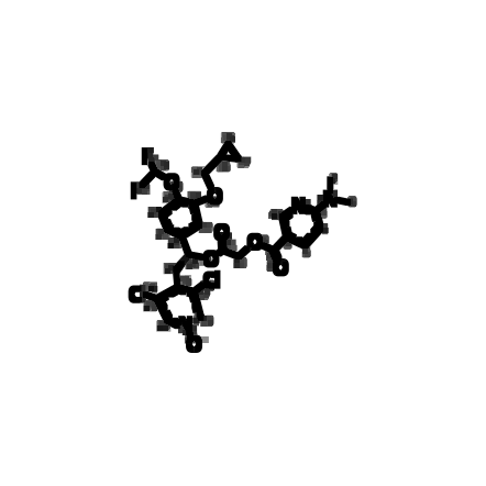 CN(C)c1ccc(C(=O)OCC(=O)O[C@@H](Cc2c(Cl)c[n+]([O-])cc2Cl)c2ccc(OC(F)F)c(OCC3CC3)c2)cn1